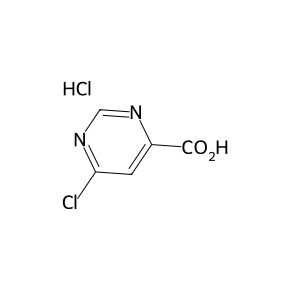 Cl.O=C(O)c1cc(Cl)ncn1